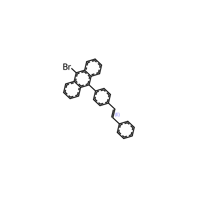 Brc1c2ccccc2c(-c2ccc(/C=C/c3ccccc3)cc2)c2ccccc12